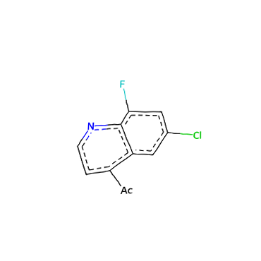 CC(=O)c1ccnc2c(F)cc(Cl)cc12